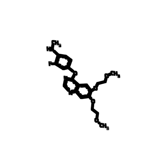 CNc1ccc(Oc2ncnc3cc(OCCOC)c(OCCOC)cc23)cc1F